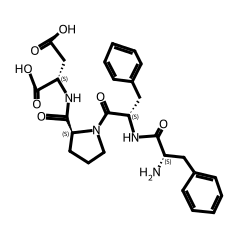 N[C@@H](Cc1ccccc1)C(=O)N[C@@H](Cc1ccccc1)C(=O)N1CCC[C@H]1C(=O)N[C@@H](CC(=O)O)C(=O)O